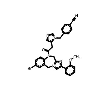 COc1ccccc1-c1cn2c(n1)CN(C(=O)Cc1cncn1Cc1ccc(C#N)cc1)c1ccc(Br)cc1C2